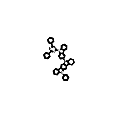 c1ccc(-c2nc(-c3ccccc3)nc(-n3c4ccccc4c4cc(-n5c6c(c7cc8c(cc75)c5ccccc5n8-c5ccccc5)CCCC6)ccc43)n2)cc1